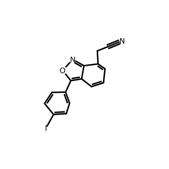 N#CCc1cccc2c(-c3ccc(I)cc3)onc12